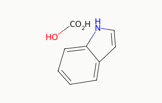 O=C(O)O.c1ccc2[nH]ccc2c1